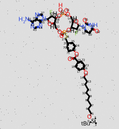 CC(C)(C)[Si](C)(C)OCCCCCCCCCCOc1ccc(C(=O)Oc2ccc(CSP3(=O)OC[C@H]4O[C@@H](n5cnc6c(N)ncnc65)[C@H](F)[C@@H]4OP(=O)(O)OC[C@H]4O[C@@H](n5ccc(=O)[nH]c5=O)[C@H](F)[C@@H]4O3)cc2)cc1